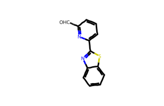 O=Cc1cccc(-c2nc3ccccc3s2)n1